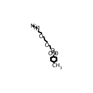 Cc1ccc(S(=O)(=O)OCCOCCCOCCN=[N+]=[N-])cc1